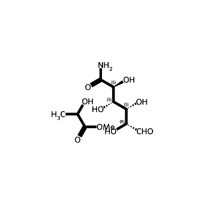 COC(=O)C(C)O.NC(=O)[C@@H](O)[C@@H](O)[C@H](O)[C@@H](O)C=O